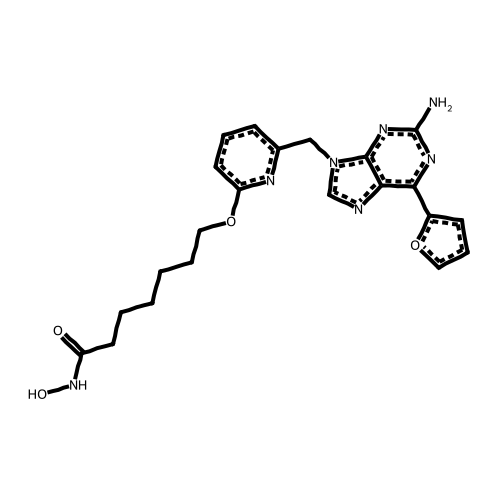 Nc1nc(-c2ccco2)c2ncn(Cc3cccc(OCCCCCCC(=O)NO)n3)c2n1